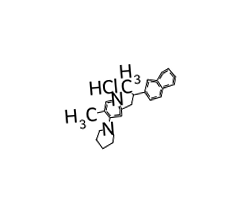 Cc1cnc(CC(C)c2ccc3ccccc3c2)cc1N1CCCCC1.Cl